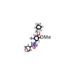 COc1cc(-c2noc(C3CCOCC3)n2)c(I)cc1OCc1ccccc1